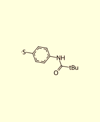 CC(C)(C)C(=O)Nc1ccc([S])cc1